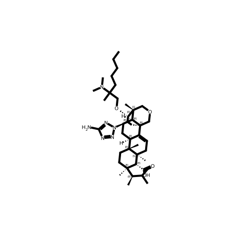 CCCCCC(C)(CO[C@H]1[C@H](n2nnc(N)n2)C[C@@]23COC[C@]1(C)[C@@H]2CC[C@H]1C3=CC[C@@]2(C)[C@H](C(=O)O)[C@@](C)([C@H](C)C(C)C)CC[C@]12C)N(C)C